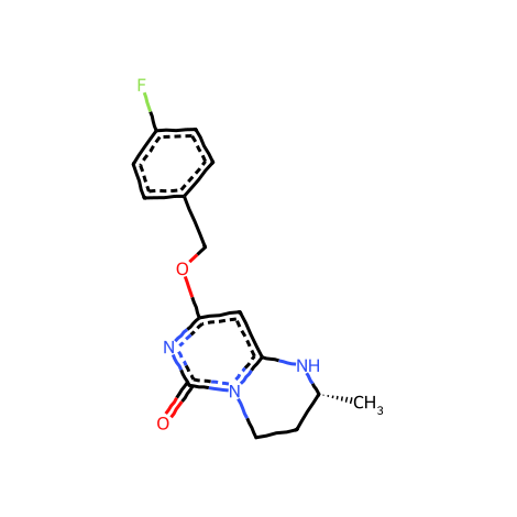 C[C@@H]1CCn2c(cc(OCc3ccc(F)cc3)nc2=O)N1